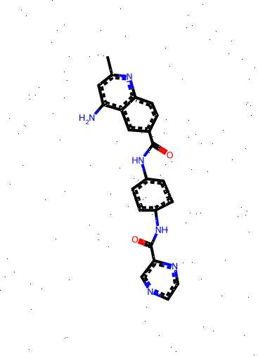 Cc1cc(N)c2cc(C(=O)Nc3ccc(NC(=O)c4cnccn4)cc3)ccc2n1